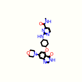 CNC(=O)c1ccnc(N[C@H]2CC[C@@H](Oc3cc(N4CCOCC4)cc4nc[nH]c(=O)c34)CC2)n1